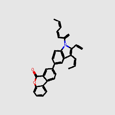 C=Cc1c(/C=C\C)c2cc(-c3ccc4c(c3)c(=O)oc3ccccc34)ccc2n1C(=C)/C=C\C=C/C